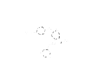 COc1ccc(Nc2cc(NCc3cncnc3)c(C(N)=O)cn2)cc1